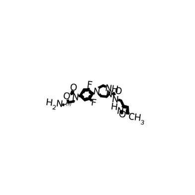 Cc1cc(CNC(=O)N2CCN(c3c(F)cc(N4C[C@H](CN)OC4=O)cc3F)CCN2)no1